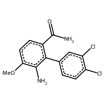 COc1ccc(C(N)=O)c(-c2ccc(Cl)c(Cl)c2)c1N